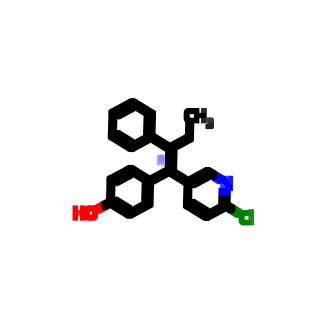 CC/C(=C(/c1ccc(O)cc1)c1ccc(Cl)nc1)c1ccccc1